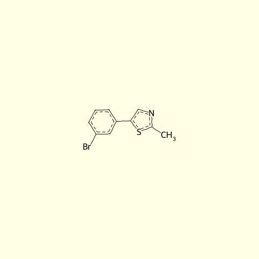 Cc1ncc(-c2cccc(Br)c2)s1